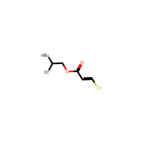 CCCCC(CC)COC(=O)C=CS